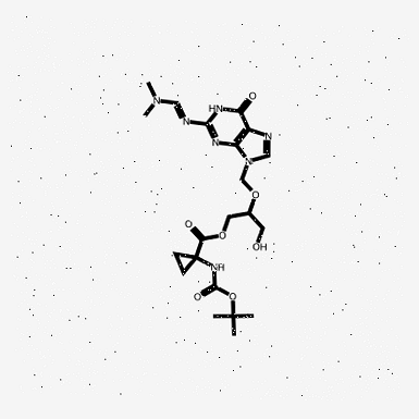 CN(C)/C=N/c1nc2c(ncn2COC(CO)COC(=O)C2(NC(=O)OC(C)(C)C)CC2)c(=O)[nH]1